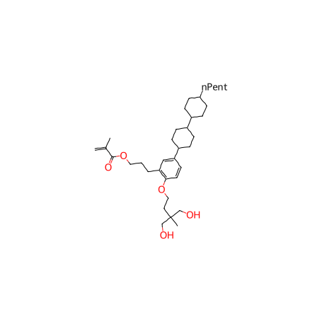 C=C(C)C(=O)OCCCc1cc(C2CCC(C3CCC(CCCCC)CC3)CC2)ccc1OCCC(C)(CO)CO